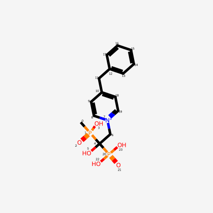 CP(=O)(O)C(O)(C[n+]1ccc(Cc2ccccc2)cc1)P(=O)(O)O